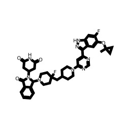 CC1(Oc2cc3c(-c4cc(N5CCC(CC6(F)CCN(C7c8ccccc8C(=O)N7C7CC(=O)NC(=O)C7)CC6)CC5)ncn4)n[nH]c3cc2F)CC1